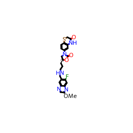 COc1cnc2cc(CNCCC[C@H]3CN(c4ccc5c(c4)NC(=O)CS5)C(=O)O3)c(F)cc2n1